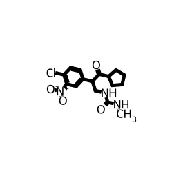 CNC(=O)NCC(C(=O)C1CCCC1)c1ccc(Cl)c([N+](=O)[O-])c1